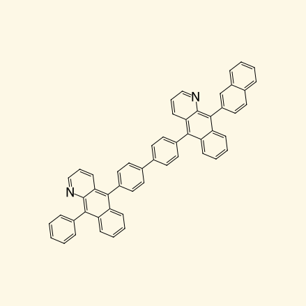 c1ccc(-c2c3ccccc3c(-c3ccc(-c4ccc(-c5c6ccccc6c(-c6ccc7ccccc7c6)c6ncccc56)cc4)cc3)c3cccnc23)cc1